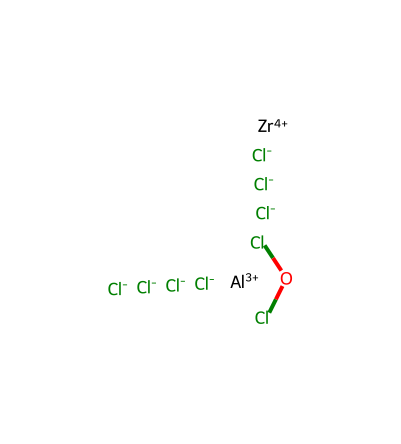 ClOCl.[Al+3].[Cl-].[Cl-].[Cl-].[Cl-].[Cl-].[Cl-].[Cl-].[Zr+4]